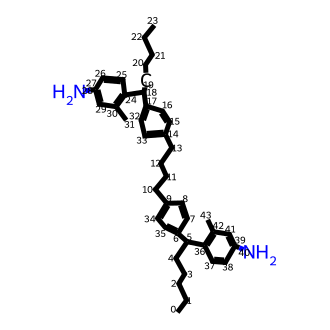 CCCCCC(c1ccc(CCCCc2ccc(C(CCCCC)c3ccc(N)cc3C)cc2)cc1)c1ccc(N)cc1C